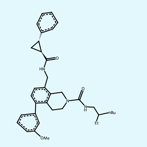 CCCCC(CC)CNC(=O)N1CCc2c(-c3cccc(OC)c3)ccc(CNC(=O)[C@H]3C[C@@H]3c3ccccc3)c2C1